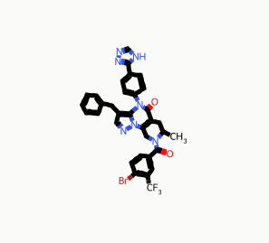 CC1Cc2c(n3ncc(Cc4ccccc4)c3n(-c3ccc(-c4nnc[nH]4)cc3)c2=O)CN1C(=O)c1ccc(Br)c(C(F)(F)F)c1